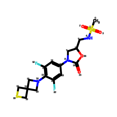 CS(=O)(=O)NCC1CN(c2cc(F)c(N3CC4(CSC4)C3)c(F)c2)C(=O)O1